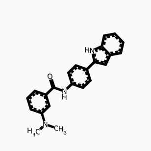 CN(C)c1cccc(C(=O)Nc2ccc(-c3cc4ccccc4[nH]3)cc2)c1